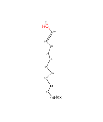 CCCCCCCCCCCCCCC=CO